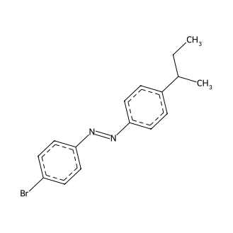 CCC(C)c1ccc(N=Nc2ccc(Br)cc2)cc1